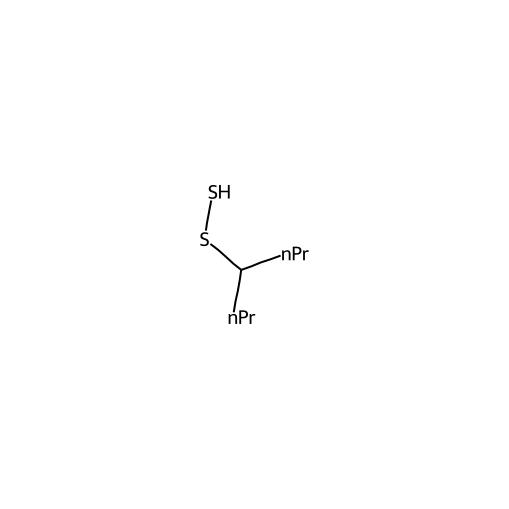 CCCC(CCC)SS